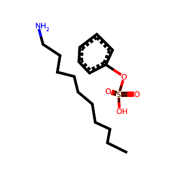 CCCCCCCCCCN.O=S(=O)(O)Oc1ccccc1